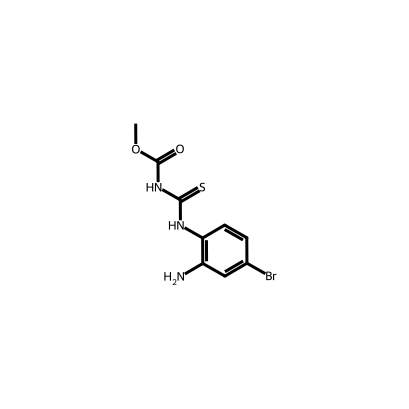 COC(=O)NC(=S)Nc1ccc(Br)cc1N